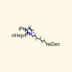 CCCCCCCCCCCCCCCCC[n+]1ccn(C(C)C)c1CCCCCCC